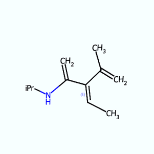 C=C(C)/C(=C\C)C(=C)NC(C)C